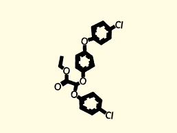 CCOC(=O)C(Oc1ccc(Cl)cc1)Oc1ccc(Oc2ccc(Cl)cc2)cc1